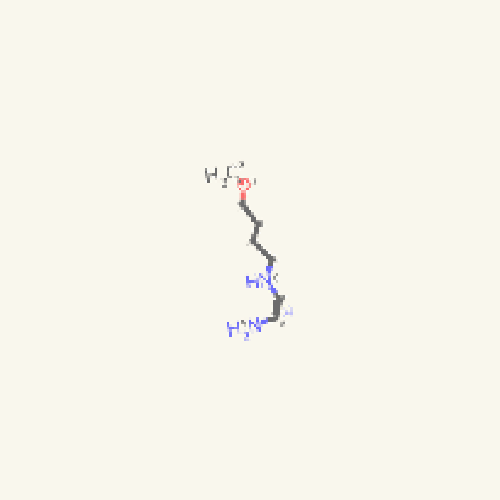 COCCCCN/C=C\N